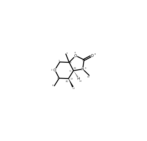 CC1OCC2(C)OC(=O)N(C)[C@H]2[C@H]1C